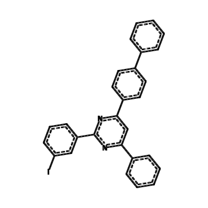 Ic1cccc(-c2nc(-c3ccccc3)cc(-c3ccc(-c4ccccc4)cc3)n2)c1